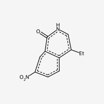 CCc1c[nH]c(=O)c2cc([N+](=O)[O-])ccc12